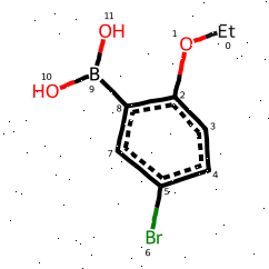 CCOc1ccc(Br)cc1B(O)O